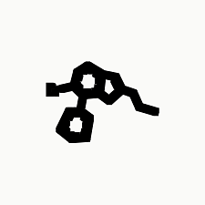 CCCC1=Cc2ccc(Br)c(-c3ccccc3)c2C1